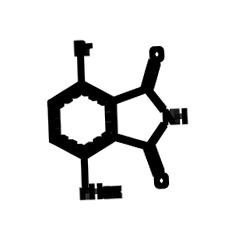 CCCCCCc1ccc(Br)c2c1C(=O)NC2=O